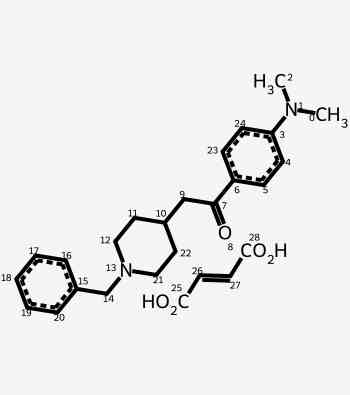 CN(C)c1ccc(C(=O)CC2CCN(Cc3ccccc3)CC2)cc1.O=C(O)C=CC(=O)O